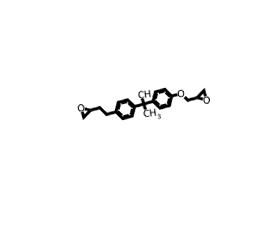 CC(C)(c1ccc(CCC2CO2)cc1)c1ccc(OCC2CO2)cc1